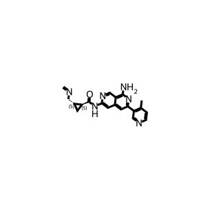 C=NC[C@H]1C[C@@H]1C(=O)Nc1cc2cc(-c3cnccc3C)nc(N)c2cn1